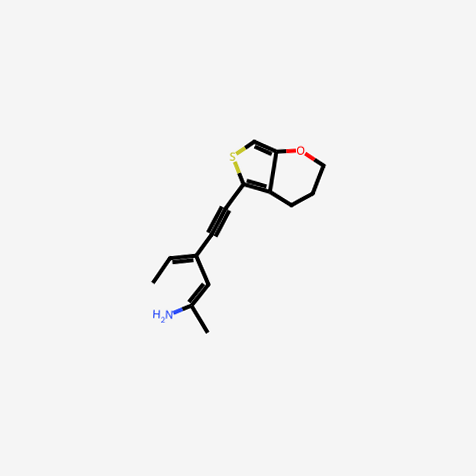 C/C=C(C#Cc1scc2c1CCCO2)\C=C(\C)N